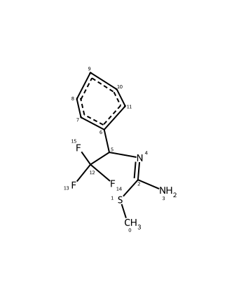 CSC(N)=NC(c1ccccc1)C(F)(F)F